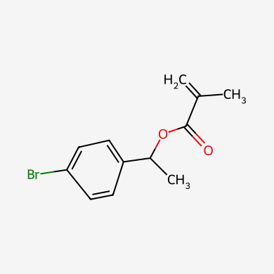 C=C(C)C(=O)OC(C)c1ccc(Br)cc1